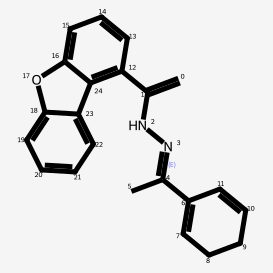 C=C(N/N=C(\C)C1=CCCC=C1)c1cccc2oc3ccccc3c12